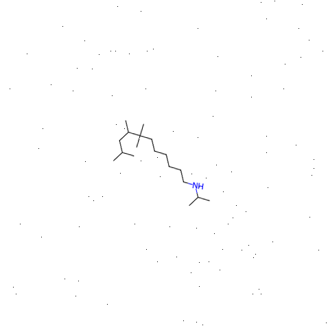 CC(C)CC(C)C(C)(C)CCCCCCNC(C)C